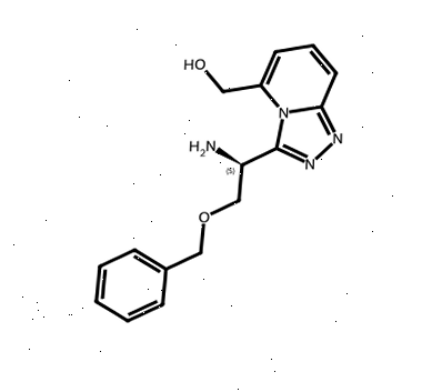 N[C@H](COCc1ccccc1)c1nnc2cccc(CO)n12